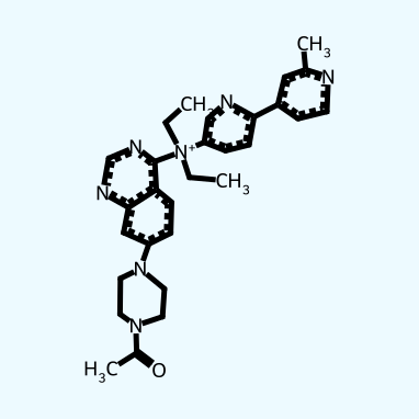 CC[N+](CC)(c1ccc(-c2ccnc(C)c2)nc1)c1ncnc2cc(N3CCN(C(C)=O)CC3)ccc12